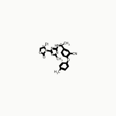 CC[C@H]1COC(=O)N1c1nc(C)nc(N[C@@H](C)c2ccc(Oc3ccc(C)cc3)c(C#N)c2)n1